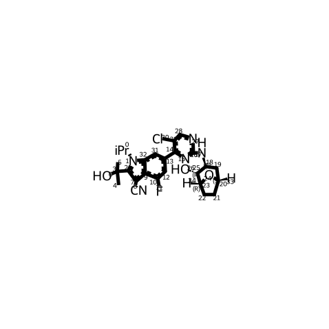 CC(C)n1c(C(C)(C)O)c(C#N)c2c(F)cc(-c3nc(N[C@H]4C[C@@H]5CC[C@@H](O5)[C@@H]4O)ncc3Cl)cc21